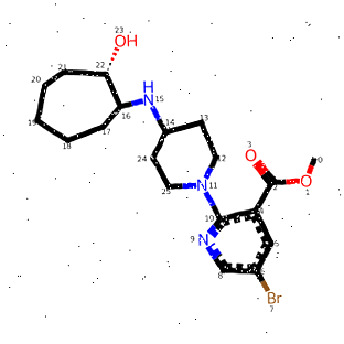 COC(=O)c1cc(Br)cnc1N1CCC(NC2CCCCC[C@@H]2O)CC1